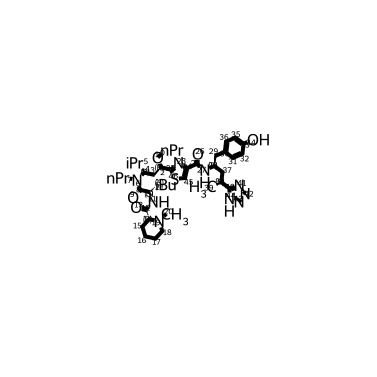 CCCO[C@H](C[C@H](C(C)C)N(CCC)C(=O)[C@@H](NC(=O)[C@H]1CCCCN1C)[C@@H](C)CC)c1nc(C(=O)N[C@@H](Cc2ccc(O)cc2)C[C@H](C)c2nnn[nH]2)cs1